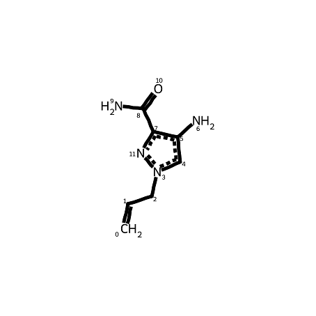 C=CCn1cc(N)c(C(N)=O)n1